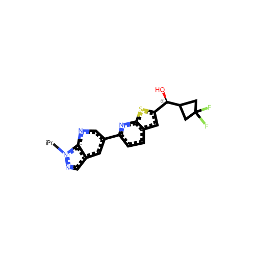 CC(C)n1ncc2cc(-c3ccc4cc([C@@H](O)C5CC(F)(F)C5)sc4n3)cnc21